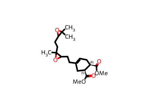 COC(=O)[C@H]1CC(CCC2OC2(C)CCC2OC2(C)C)=CC[C@H]1C(=O)OC